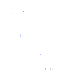 Cc1ncccc1C(=O)c1cccc(N2CCCN(C(=O)CC(C)(C)C)CC2)n1